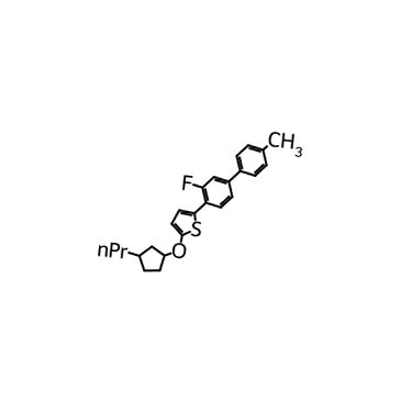 CCCC1CCC(Oc2ccc(-c3ccc(-c4ccc(C)cc4)cc3F)s2)C1